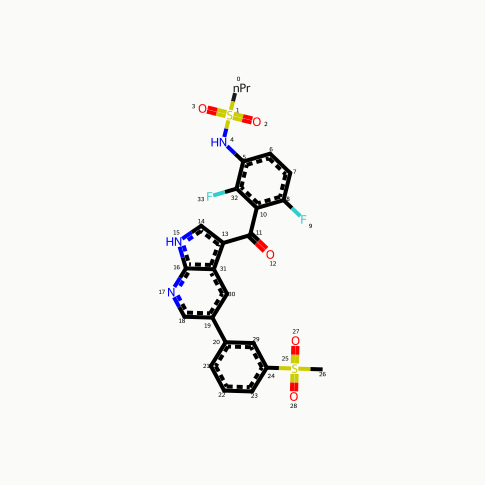 CCCS(=O)(=O)Nc1ccc(F)c(C(=O)c2c[nH]c3ncc(-c4cccc(S(C)(=O)=O)c4)cc23)c1F